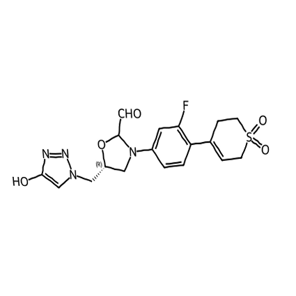 O=CC1O[C@@H](Cn2cc(O)nn2)CN1c1ccc(C2=CCS(=O)(=O)CC2)c(F)c1